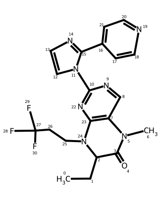 CCC1C(=O)N(C)c2cnc(-n3ccnc3-c3ccncc3)nc2N1CCC(F)(F)F